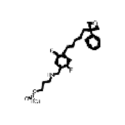 O=[PH](O)OCCCNCc1cc(F)c(CCCCCC2(c3ccccc3)COC2)cc1F